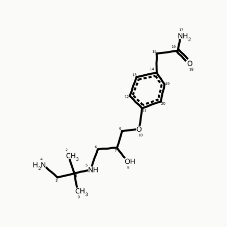 CC(C)(CN)NCC(O)COc1ccc(CC(N)=O)cc1